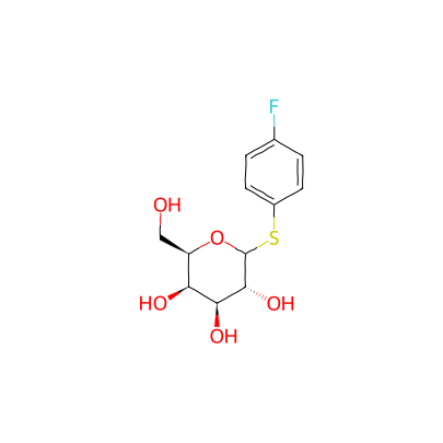 OC[C@H]1OC(Sc2ccc(F)cc2)[C@H](O)[C@@H](O)[C@H]1O